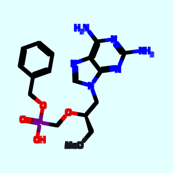 COC[C@H](Cn1cnc2c(N)nc(N)nc21)OCP(=O)(O)OCc1ccccc1